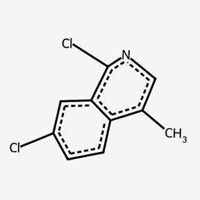 Cc1cnc(Cl)c2cc(Cl)ccc12